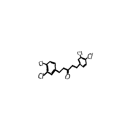 O=C(CCc1ccc(Cl)c(Cl)c1)CCc1ccc(Cl)c(Cl)c1